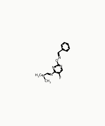 CN(C)/C=N/c1nc(ON=Cc2ccccc2)ncc1F